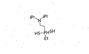 CC[PH](S)(S)CCN(C(C)C)C(C)C